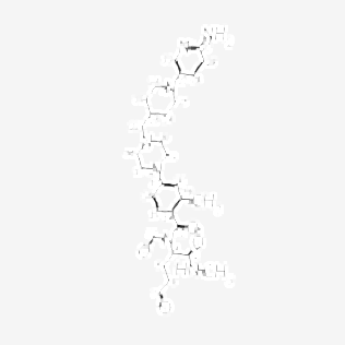 CNC(=O)C(CCC=O)N(C=O)C(=O)c1ccc(N2CCN(CC3CCN(c4ccc(N)nc4)CC3)CC2)cc1C